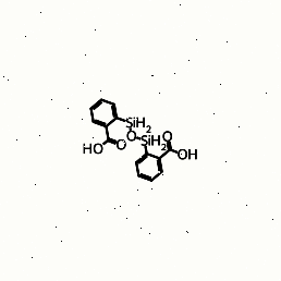 O=C(O)c1ccccc1[SiH2]O[SiH2]c1ccccc1C(=O)O